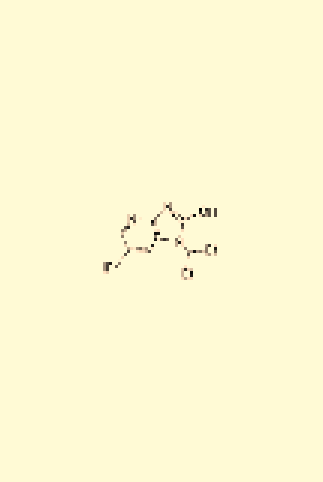 CCC(CC)n1c(O)nc2ncc(C(C)C)cc21